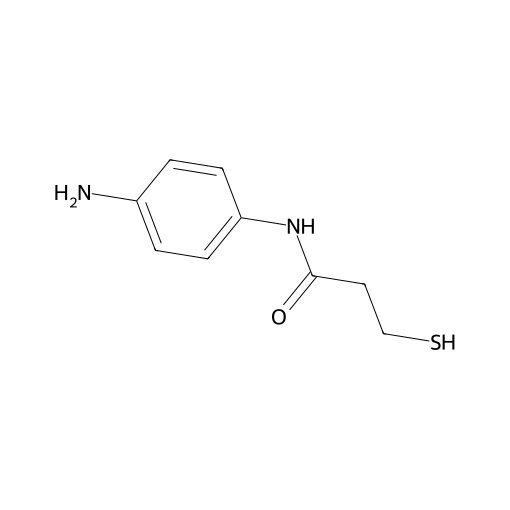 Nc1ccc(NC(=O)CCS)cc1